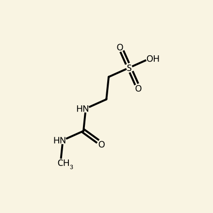 CNC(=O)NCCS(=O)(=O)O